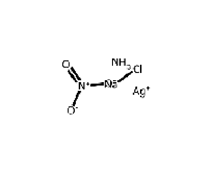 N.O=[N+]([O-])[O-].[Ag+].[Na][Cl]